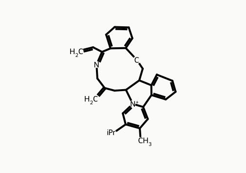 C=C/C1=N/CC(=C)CC2C(CCc3ccccc31)c1ccccc1-c1cc(C)c(C(C)C)c[n+]12